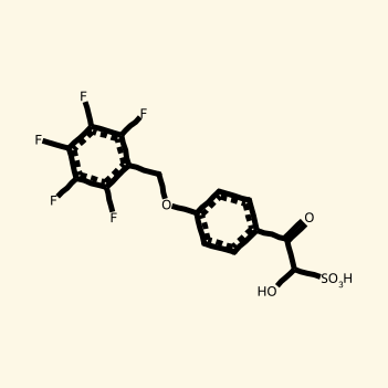 O=C(c1ccc(OCc2c(F)c(F)c(F)c(F)c2F)cc1)C(O)S(=O)(=O)O